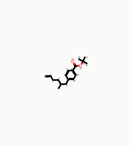 C=CCCC(C)Cc1ccc(C(=O)OC(C)(C)C)cc1